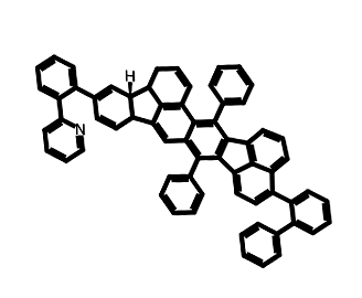 C1=Cc2c3c(cc4c(-c5ccccc5)c5c(c(-c6ccccc6)c24)-c2cccc4c(-c6ccccc6-c6ccccc6)ccc-5c24)C2C=CC(c4ccccc4-c4ccccn4)=C[C@@H]2C3C1